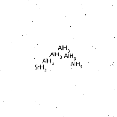 [AlH3].[AlH3].[AlH3].[AlH3].[AlH3].[SrH2]